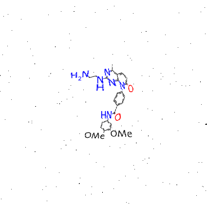 COc1ccc(NC(=O)c2ccc(-n3c(=O)ccc4c(C)nc(NCCN)nc43)cc2)cc1OC